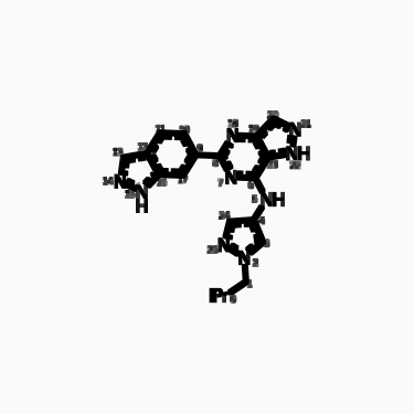 CC(C)Cn1cc(Nc2nc(-c3ccc4cn[nH]c4c3)nc3cn[nH]c23)cn1